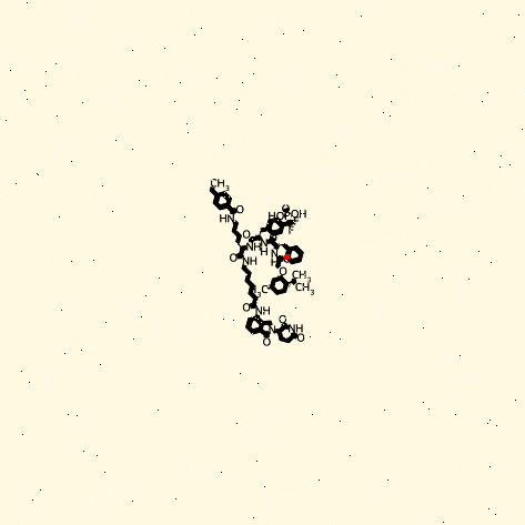 CCc1ccc(C(=O)NCCCC[C@H](NC(=O)[C@H](Cc2ccc(C(F)(F)P(=O)(O)O)cc2)NC(=O)[C@H](Cc2ccccc2)NC(=O)CO[C@H]2C[C@@H](C)CC[C@@H]2C(C)C)C(=O)NCCCCCCC(=O)Nc2cccc3c2CN(C2CCC(=O)NC2=O)C3=O)cc1